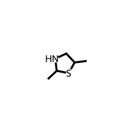 CC1CNC(C)S1